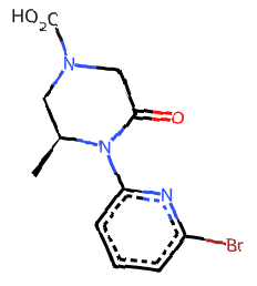 C[C@H]1CN(C(=O)O)CC(=O)N1c1cccc(Br)n1